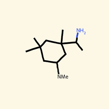 CNC1CC(C)(C)CC(C)(C(C)N)C1